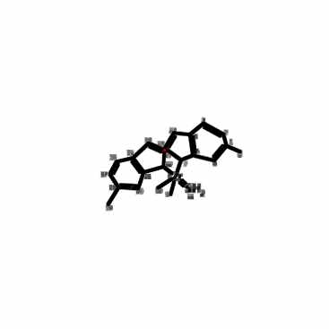 Cc1ccc2c(c1)[CH]([Zr]([CH3])([CH3])(=[SiH2])[CH]1C=Cc3ccc(C)cc31)C=C2